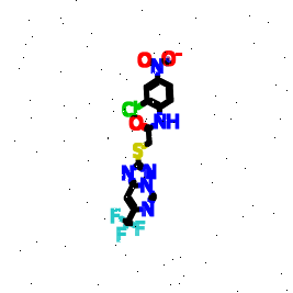 O=C(CSc1nc2cc(C(F)(F)F)ncn2n1)Nc1ccc([N+](=O)[O-])cc1Cl